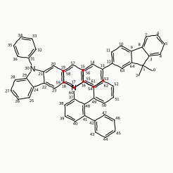 CC1(C)c2ccccc2-c2ccc(-c3ccc(N(c4ccc5c(c4)c4ccccc4n5-c4ccccc4)c4cccc(-c5ccccc5)c4-c4ccccc4-c4ccccc4)cc3)cc21